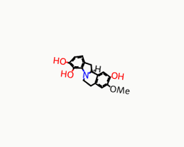 COc1cc2c(cc1O)[C@@H]1Cc3ccc(O)c(O)c3N1CC2